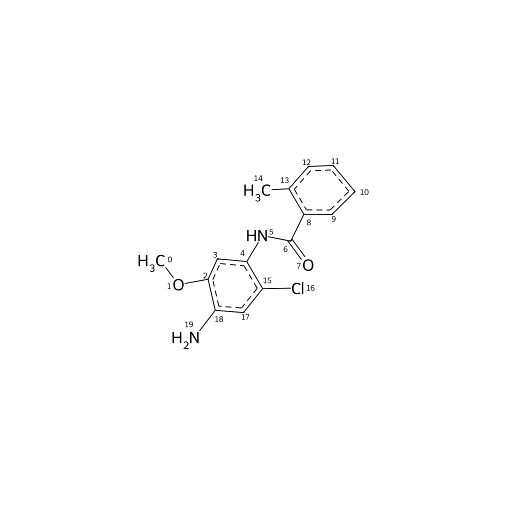 COc1cc(NC(=O)c2ccccc2C)c(Cl)cc1N